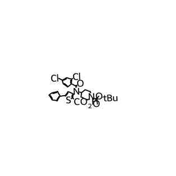 CC(C)(C)OC(=O)N1CCC(N(C(=O)c2ccc(Cl)cc2Cl)c2cc(-c3ccccc3)sc2C(=O)O)CC1